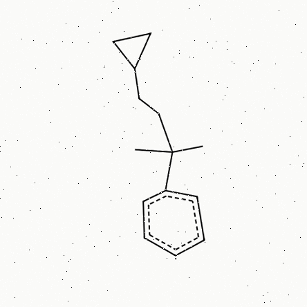 CC(C)(CCC1CC1)c1cc[c]cc1